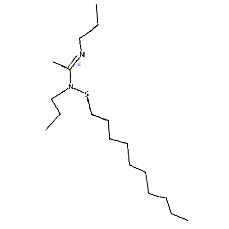 CCCCCCCCCCSN(CCC)/C(C)=N/CCC